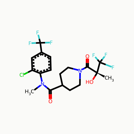 CN(C(=O)C1CCN(C(=O)[C@@](C)(O)C(F)(F)F)CC1)c1ccc(C(F)(F)F)cc1Cl